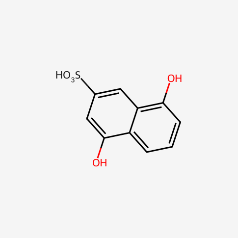 O=S(=O)(O)c1cc(O)c2cccc(O)c2c1